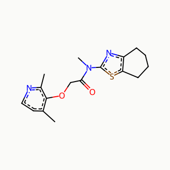 Cc1ccnc(C)c1OCC(=O)N(C)c1nc2c(s1)CCCC2